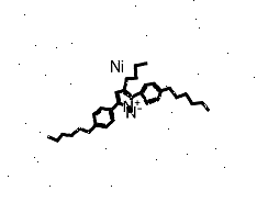 CCCCCCc1ccc(C2=CC(CCCC)=C(c3ccc(CCCCCC)cc3)[N+]2=[N-])cc1.[Ni]